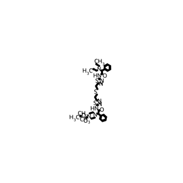 CCCN(CCC)C(C(=O)Nc1nnc(CCSCCc2nnc(NC(=O)C(c3ccccc3)N3CCN(C(=O)OC(C)(C)C)CC3)s2)s1)c1ccccc1